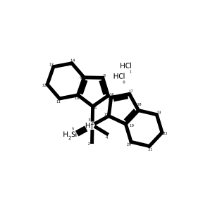 Cl.Cl.[CH3][Hf]([CH3])(=[SiH2])([CH]1C=CC2=C1CCCC2)[CH]1C=CC2=C1CCCC2